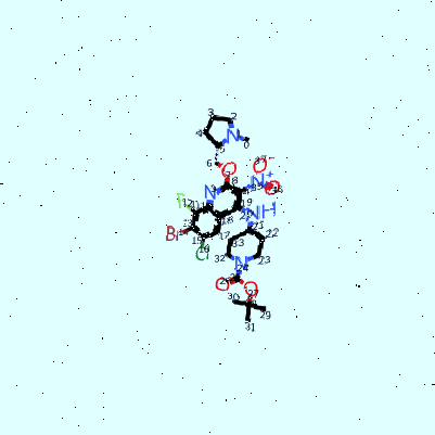 CN1CCC[C@H]1COc1nc2c(F)c(Br)c(Cl)cc2c(NC2CCN(C(=O)OC(C)(C)C)CC2)c1[N+](=O)[O-]